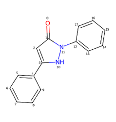 O=c1cc(-c2ccccc2)[nH]n1-c1ccccc1